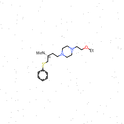 CCOCCN1CCN(CC[C@H](CSc2ccccc2)NC)CC1